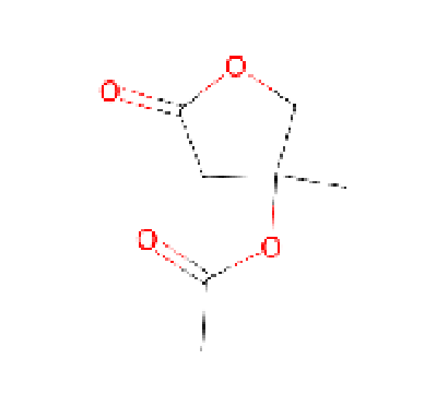 CC(=O)OC1(C)COC(=O)C1